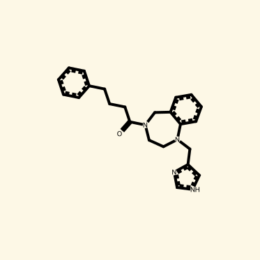 O=C(CCCc1ccccc1)N1CCN(Cc2c[nH]cn2)c2ccccc2C1